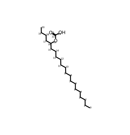 CCCCCCCCCCCCCCCCC(CCCC)OC(=O)O